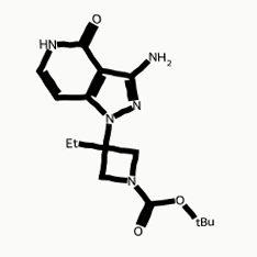 CCC1(n2nc(N)c3c(=O)[nH]ccc32)CN(C(=O)OC(C)(C)C)C1